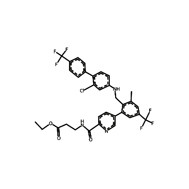 CCOC(=O)CCNC(=O)c1ccc(-c2cc(C(F)(F)F)cc(C)c2CNc2ccc(-c3ccc(C(F)(F)F)cc3)c(Cl)c2)cn1